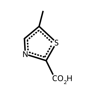 Cc1cnc(C(=O)O)s1